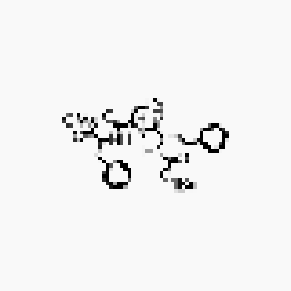 COC(=O)[C@H](Cc1ccccc1)NC(=O)C(CC(C)C)NC(=O)[C@H](CCc1ccccc1)NC(=O)OC(C)(C)C